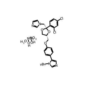 CCCCn1cncc1-c1ccc(OC[C@@H]2CO[C@@](Cn3ccnc3)(c3ccc(Cl)cc3Cl)O2)cc1.O.O=[N+]([O-])O.O=[N+]([O-])O